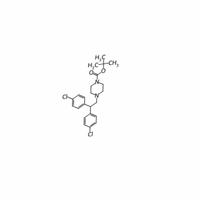 CC(C)(C)OC(=O)N1CCN(CC(c2ccc(Cl)cc2)c2ccc(Cl)cc2)CC1